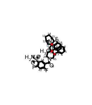 Cc1nc2ccccc2n1C1CC2CCC(C1)N2CCC1(c2cccc(F)c2)CCN(C(=O)c2cc(S(N)(=O)=O)c(F)cc2F)CC1